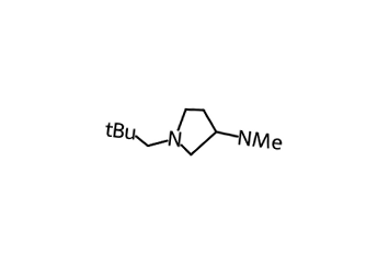 CNC1CCN(CC(C)(C)C)C1